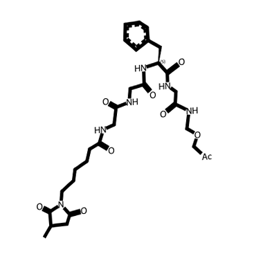 CC(=O)COCNC(=O)CNC(=O)[C@H](Cc1ccccc1)NC(=O)CNC(=O)CNC(=O)CCCCCN1C(=O)CC(C)C1=O